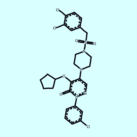 O=c1c(OC2CCCC2)c(N2CCN(S(=O)(=O)Cc3ccc(Cl)c(Cl)c3)CC2)cnn1-c1cccc(Cl)c1